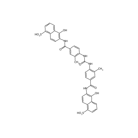 Cc1cc(C(=O)Nc2ccc3c(S(=O)(=O)O)cccc3c2O)ccc1NC(=O)Nc1ccc(C(=O)Nc2ccc3c(S(=O)(=O)O)cccc3c2O)cc1C